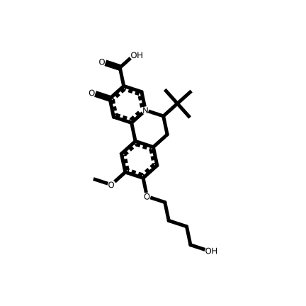 COc1cc2c(cc1OCCCCO)CC(C(C)(C)C)n1cc(C(=O)O)c(=O)cc1-2